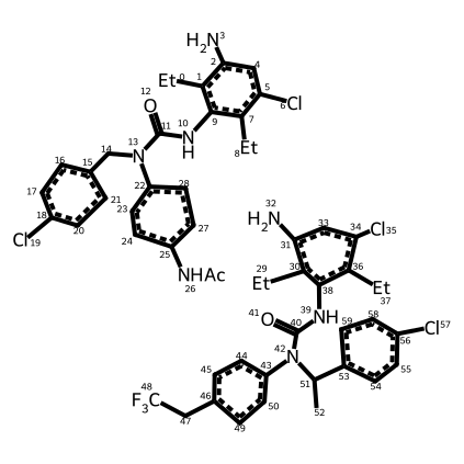 CCc1c(N)cc(Cl)c(CC)c1NC(=O)N(Cc1ccc(Cl)cc1)c1ccc(NC(C)=O)cc1.CCc1c(N)cc(Cl)c(CC)c1NC(=O)N(c1ccc(CC(F)(F)F)cc1)C(C)c1ccc(Cl)cc1